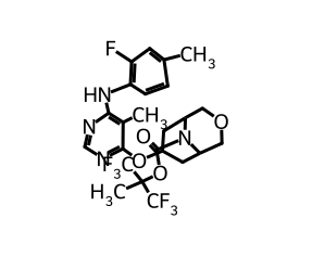 Cc1ccc(Nc2ncnc(OC3CC4COCC(C3)N4C(=O)OC(C)(C(F)(F)F)C(F)(F)F)c2C)c(F)c1